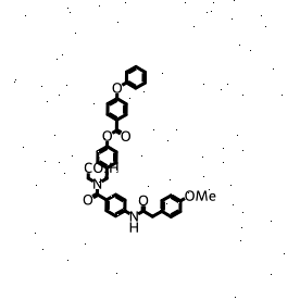 COc1ccc(CC(=O)Nc2ccc(C(=O)N(CC(=O)O)Cc3ccc(OC(=O)c4ccc(Oc5ccccc5)cc4)cc3)cc2)cc1